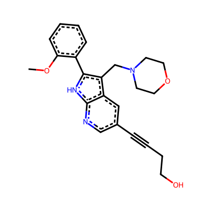 COc1ccccc1-c1[nH]c2ncc(C#CCCO)cc2c1CN1CCOCC1